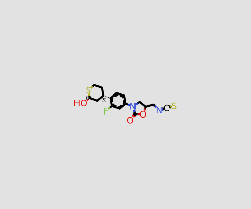 O=C1OC(CN=C=S)CN1c1ccc([C@H]2CCS[C@H](O)C2)c(F)c1